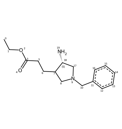 CCOC(=O)CCC1CN(Cc2ccccc2)C[C@H]1N